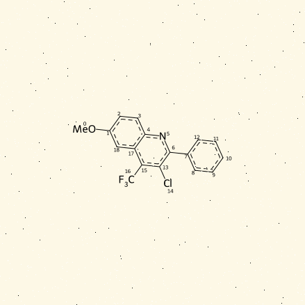 COc1ccc2nc(-c3ccccc3)c(Cl)c(C(F)(F)F)c2c1